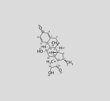 C[C@@H]1C[C@H]2[C@@H]3CCC4=CC(=O)C=C[C@]4(C)[C@@H]3[C@@H](O)C[C@]2(C)[C@H]1C(=O)CO